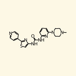 CN1CCN(c2cccc(NC(=O)Nc3csc(-c4ccncc4)n3)n2)CC1